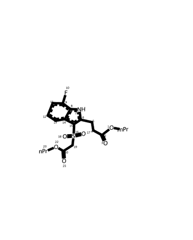 CCCOC(=O)CCc1[nH]c2c(F)cccc2c1S(=O)(=O)CC(=O)OCCC